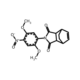 COc1cc([N+](=O)[O-])c(OC)cc1N1C(=O)C2C3C=CC(CC3)C2C1=O